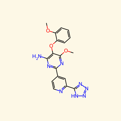 COc1ccccc1Oc1c(N)nc(-c2ccnc(-c3nnn[nH]3)c2)nc1OC